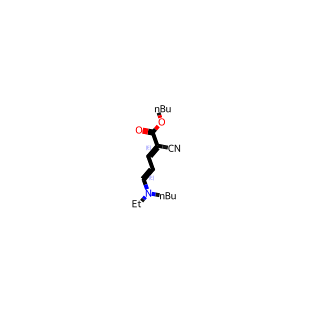 CCCCOC(=O)/C(C#N)=C/C=C/N(CC)CCCC